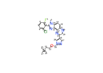 Cn1c(-c2c(F)cccc2Cl)nc2c3nc(-c4cnn(COCC[Si](C)(C)C)c4)cnc3ccc21